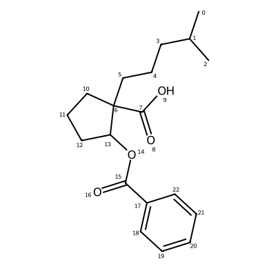 CC(C)CCCC1(C(=O)O)CCCC1OC(=O)c1ccccc1